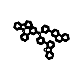 c1cc(-c2ccc3c(ccc4ccccc43)c2)cc(N(c2cccc(-c3ccccc3-n3c4ccccc4c4ccccc43)c2)c2cccc(-c3cccc4c3oc3ccccc34)c2)c1